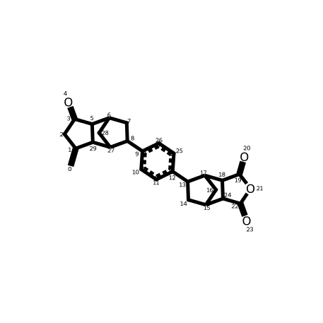 C=C1CC(=O)C2C3CC(c4ccc(C5CC6CC5C5C(=O)OC(=O)C65)cc4)C(C3)C12